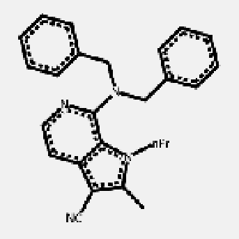 CCCn1c(C)c(C#N)c2ccnc(N(Cc3ccccc3)Cc3ccccc3)c21